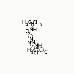 C[C@@H](Nc1nc(N2CCC(C(=O)NCCN(C)C)CC2)ncc1Cl)c1ccc(Cl)cc1Cl